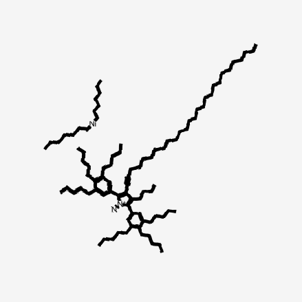 CCCCCCCCCCCCCCCCCCCCCCCCCC#CC1=C(c2cc(CCCCC)c(CCCCC)c(CCCCC)c2)[N+](=[N-])C(c2cc(CCCCC)c(CCCCC)c(CCCCC)c2)=C1CCCC.CCCCCC[CH2][Ni][CH2]CCCCCC